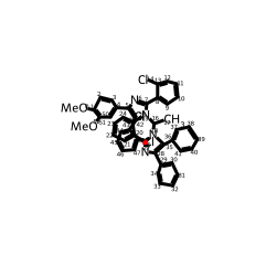 COc1ccc(-c2nc(-c3ccccc3Cl)n(C(C)n3c(-c4ccccc4Cl)nc(-c4ccccc4)c3-c3ccccc3)c2-c2ccccc2Cl)cc1OC